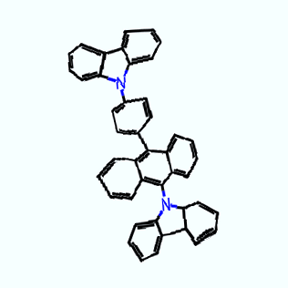 C1=CC2c3ccccc3N(c3c4ccccc4c(-c4ccc(-n5c6ccccc6c6ccccc65)cc4)c4ccccc34)C2C=C1